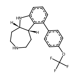 FC(F)(F)Oc1ccc(-c2cccc3c2[C@@H]2CCNCC[C@@H]2N3)cc1